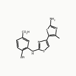 CCCc1ccc(C(=O)O)cc1Nc1nc(-c2sc(N)nc2C)cs1